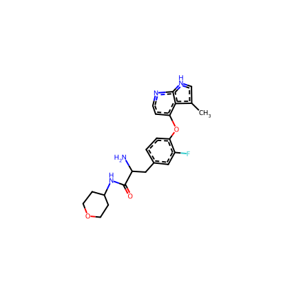 Cc1c[nH]c2nccc(Oc3ccc(CC(N)C(=O)NC4CCOCC4)cc3F)c12